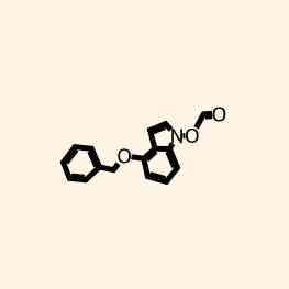 O=COn1ccc2c(OCc3ccccc3)cccc21